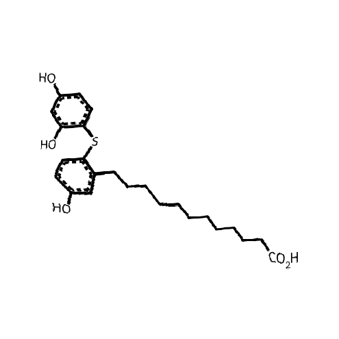 O=C(O)CCCCCCCCCCCc1cc(O)ccc1Sc1ccc(O)cc1O